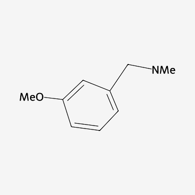 [CH]NCc1cccc(OC)c1